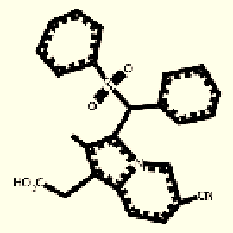 Cc1c(CC(=O)O)c2ccc(C#N)cn2c1C(c1ccccc1)S(=O)(=O)c1ccccc1